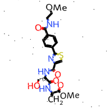 C=C(NC(=O)[C@H](CO)NC(=O)c1csc(-c2ccc(C(=O)NCCOC)cc2)n1)C(=O)OC